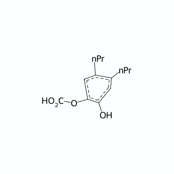 CCCc1cc(O)c(OC(=O)O)cc1CCC